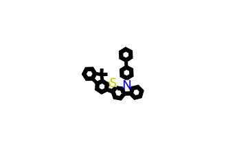 CC1(C)c2ccccc2-c2ccc3c(sc4c3ccc3c5ccccc5n(-c5ccc(-c6ccccc6)cc5)c34)c21